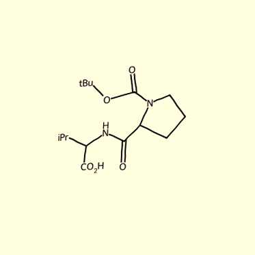 CC(C)C(NC(=O)C1CCCN1C(=O)OC(C)(C)C)C(=O)O